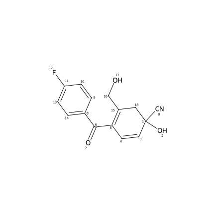 N#CC1(O)C=CC(C(=O)c2ccc(F)cc2)=C(CO)C1